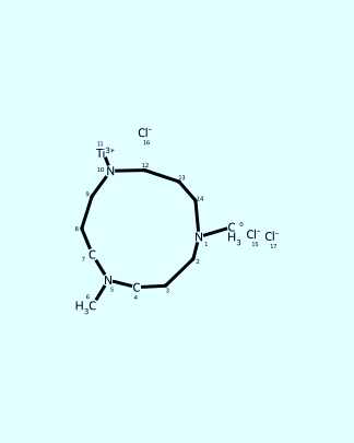 CN1CCCN(C)CCC[N]([Ti+3])CCC1.[Cl-].[Cl-].[Cl-]